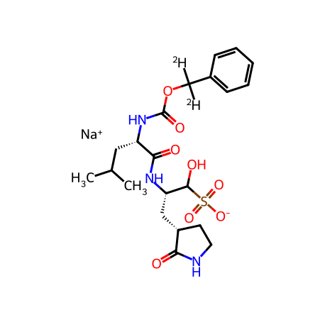 [2H]C([2H])(OC(=O)N[C@@H](CC(C)C)C(=O)N[C@@H](C[C@@H]1CCNC1=O)C(O)S(=O)(=O)[O-])c1ccccc1.[Na+]